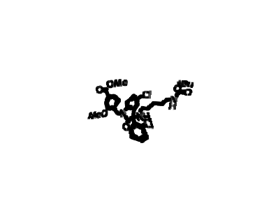 COC(=O)c1ccc(CN2C(=O)C(NCCCCCNC(=O)OC(C)(C)C)(c3ccccc3Cl)c3cc(Cl)ccc32)c(OC)c1